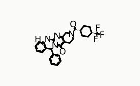 Nc1nc2c(c(=O)n1C(c1ccccc1)c1ccccc1)CCN(C(=O)[C@H]1CC[C@H](C(F)(F)F)CC1)C2